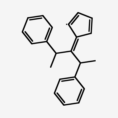 CC(C(=C1[C]=CC=C1)C(C)c1ccccc1)c1ccccc1